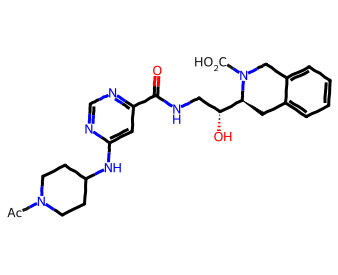 CC(=O)N1CCC(Nc2cc(C(=O)NC[C@@H](O)[C@@H]3Cc4ccccc4CN3C(=O)O)ncn2)CC1